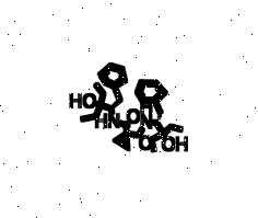 CCC(O)(CC)[C@@H](Cc1ccccc1)NC(=O)C1(C(=O)N[C@H](Cc2ccccc2)C(O)(CC)CC)CC1